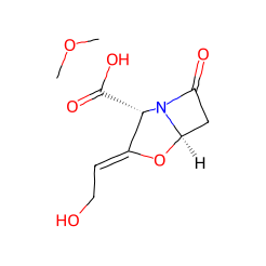 COC.O=C(O)[C@H]1/C(=C/CO)O[C@@H]2CC(=O)N21